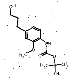 COc1cc(CCCO)ccc1NC(=O)OC(C)(C)C